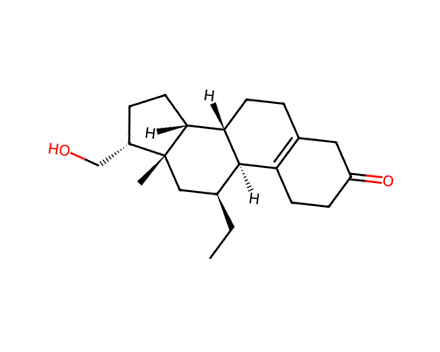 CC[C@H]1C[C@]2(C)[C@H](CO)CC[C@@H]2[C@@H]2CCC3=C(CCC(=O)C3)[C@@H]12